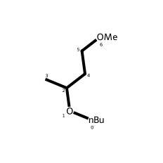 CCCCOC(C)CCOC